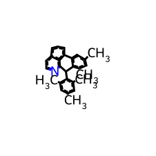 Cc1cc(C)c(C2c3c(C)cc(C)cc3-c3cccc4ccnc2c34)c(C)c1